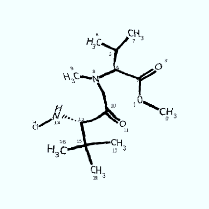 COC(=O)[C@H](C(C)C)N(C)C(=O)[C@@H](NCl)C(C)(C)C